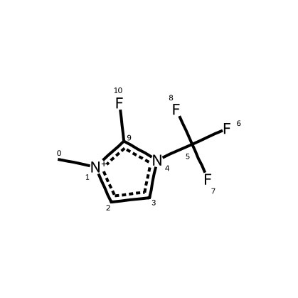 C[n+]1ccn(C(F)(F)F)c1F